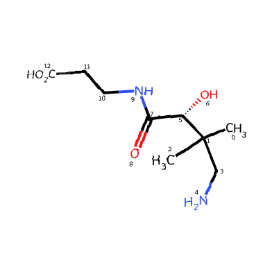 CC(C)(CN)[C@@H](O)C(=O)NCCC(=O)O